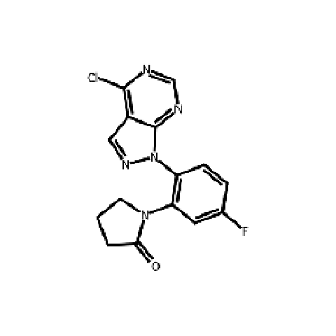 O=C1CCCN1c1cc(F)ccc1-n1ncc2c(Cl)ncnc21